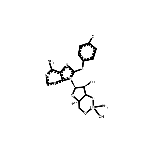 B[PH]1(O)OC[C@H]2O[C@@H](n3c(Sc4ccc(Cl)cc4)nc4c(N)ncnc43)[C@@H](O)C2O1